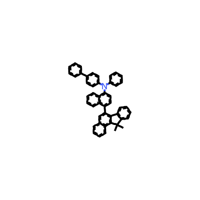 CC1(C)c2ccccc2-c2c(-c3ccc(N(c4ccccc4)c4ccc(-c5ccccc5)cc4)c4ccccc34)cc3ccccc3c21